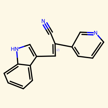 N#C/C(=C\c1c[nH]c2ccccc12)c1cccnc1